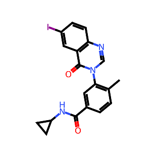 Cc1ccc(C(=O)NC2CC2)cc1-n1cnc2ccc(I)cc2c1=O